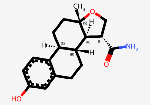 C[C@]12CC[C@@H]3c4ccc(O)cc4CC[C@H]3[C@@H]1[C@@H](C(N)=O)CO2